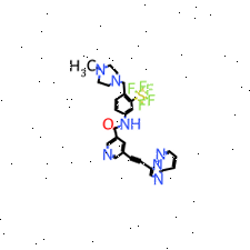 CN1CCN(Cc2ccc(NC(=O)c3cncc(C#Cc4cnc5cccnn45)c3)cc2S(F)(F)(F)(F)F)CC1